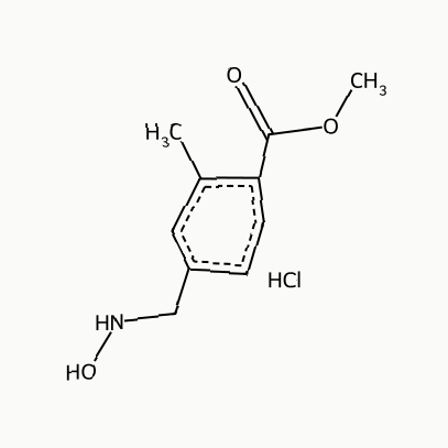 COC(=O)c1ccc(CNO)cc1C.Cl